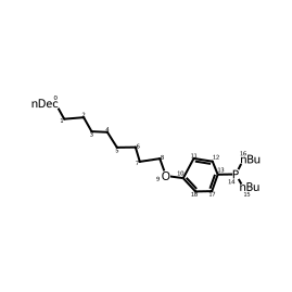 CCCCCCCCCCCCCCCCCCOc1ccc(P(CCCC)CCCC)cc1